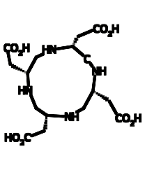 O=C(O)C[C@@H]1CN[C@H](CC(=O)O)CN[C@H](CC(=O)O)CN[C@H](CC(=O)O)CN1